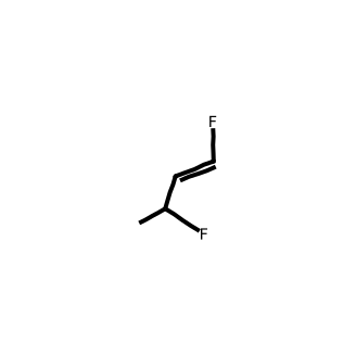 CC(F)/C=C/F